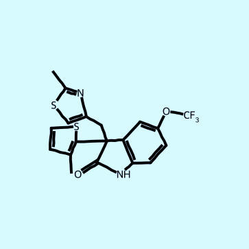 Cc1nc(CC2(c3sccc3C)C(=O)Nc3ccc(OC(F)(F)F)cc32)cs1